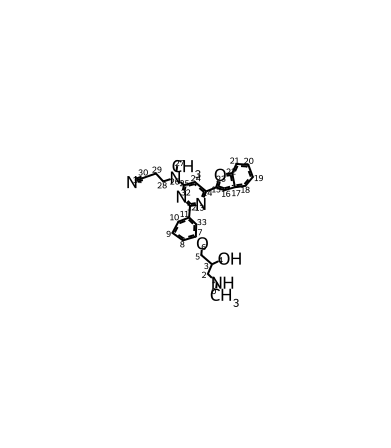 CNCC(O)COc1cccc(-c2nc(-c3cc4ccccc4o3)cc(N(C)CCC#N)n2)c1